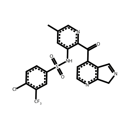 Cc1cnc(C(=O)c2ccnc3c2C=NC3)c(NS(=O)(=O)c2ccc(Cl)c(C(F)(F)F)c2)c1